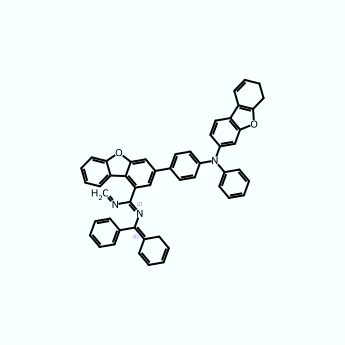 C=N/C(=N\C(=C1\C=CC=CC1)c1ccccc1)c1cc(-c2ccc(N(c3ccccc3)c3ccc4c5c(oc4c3)CCC=C5)cc2)cc2oc3ccccc3c12